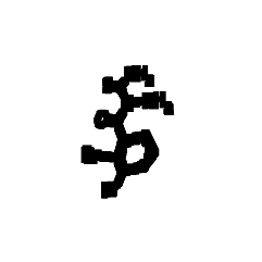 NC(=S)N(N)C(=O)c1cccc(Br)c1Br